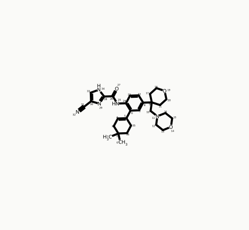 CC1(C)CC=C(c2cc(C3(CN4CCOCC4)CCOCC3)ccc2NC(=O)c2nc(C#N)c[nH]2)CC1